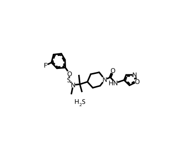 CN(SOc1cccc(F)c1)C(C)(C)C1CCN(C(=O)Nc2cnoc2)CC1.S